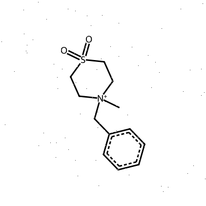 C[N+]1(Cc2ccccc2)CCS(=O)(=O)CC1